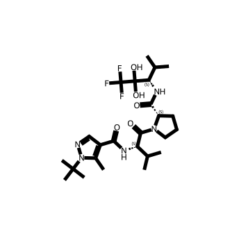 Cc1c(C(=O)N[C@H](C(=O)N2CCC[C@H]2C(=O)N[C@@H](C(C)C)C(O)(O)C(F)(F)F)C(C)C)cnn1C(C)(C)C